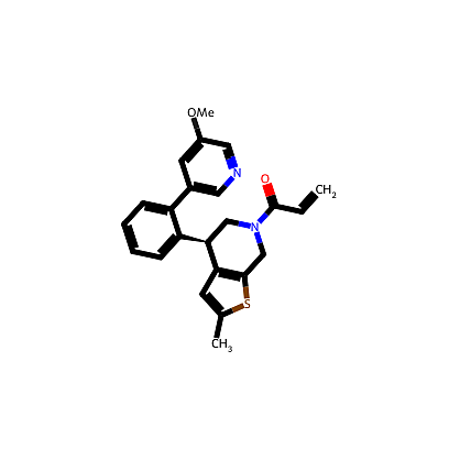 C=CC(=O)N1Cc2sc(C)cc2[C@@H](c2ccccc2-c2cncc(OC)c2)C1